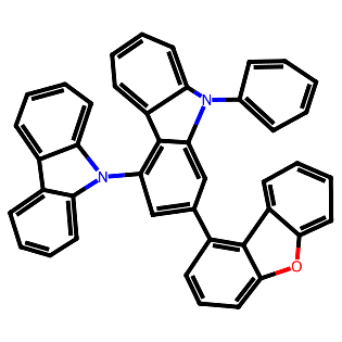 c1ccc(-n2c3ccccc3c3c(-n4c5ccccc5c5ccccc54)cc(-c4cccc5oc6ccccc6c45)cc32)cc1